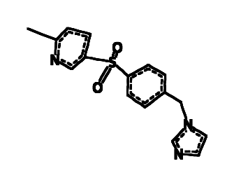 Cc1ccc(S(=O)(=O)c2ccc(Cn3ccnc3)cc2)cn1